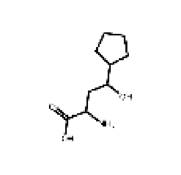 NC(CC(O)C1CCCC1)C(=O)O